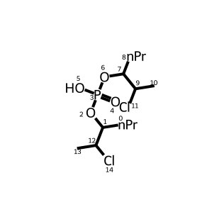 CCCC(OP(=O)(O)OC(CCC)C(C)Cl)C(C)Cl